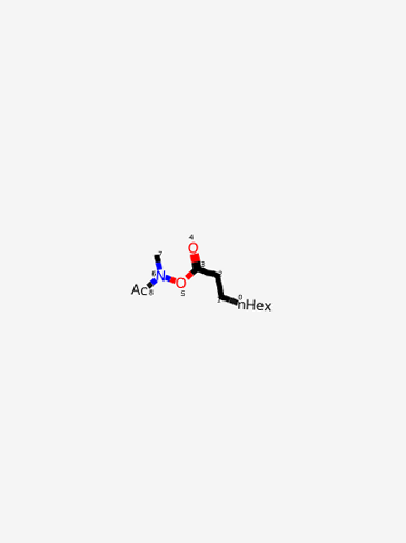 CCCCCCCCC(=O)ON(C)C(C)=O